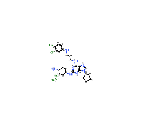 Cl.Cl.Cl.NC1CCC(Nc2nc(NCCCNc3ccc(Cl)c(Cl)c3)c3ncn(C4CCCC4)c3n2)CC1